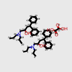 CCCN(CCC)CC(O)CC(c1ccccc1)c1ccccc1.CCCN(CCC)CC(O)CC(c1ccccc1)c1ccccc1.O=C(O)C(=O)O